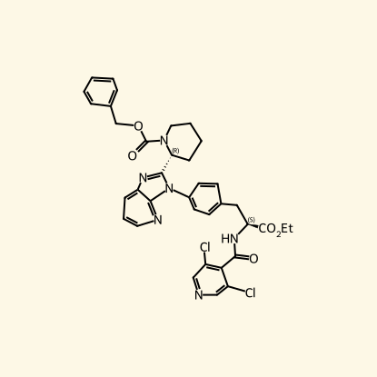 CCOC(=O)[C@H](Cc1ccc(-n2c([C@H]3CCCCN3C(=O)OCc3ccccc3)nc3cccnc32)cc1)NC(=O)c1c(Cl)cncc1Cl